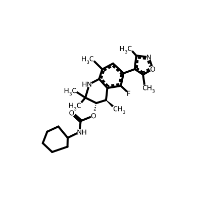 Cc1cc(-c2c(C)noc2C)c(F)c2c1NC(C)(C)[C@@H](OC(=O)NC1CCCCC1)[C@@H]2C